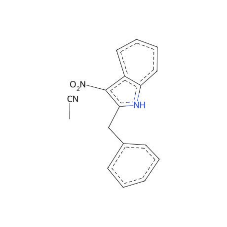 CC#N.O=[N+]([O-])c1c(Cc2ccccc2)[nH]c2ccccc12